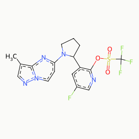 Cc1cnn2ccc(N3CCCC3c3cc(F)cnc3OS(=O)(=O)C(F)(F)F)nc12